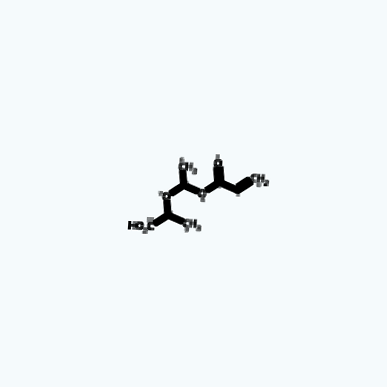 C=CC(=O)OC(C)OC(C)C(=O)O